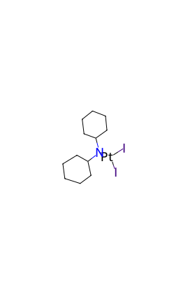 [I][Pt]([I])[N](C1CCCCC1)C1CCCCC1